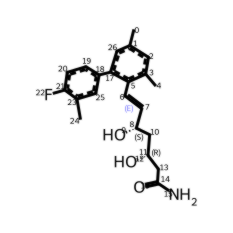 Cc1cc(C)c(/C=C/[C@@H](O)C[C@@H](O)CC(N)=O)c(-c2ccc(F)c(C)c2)c1